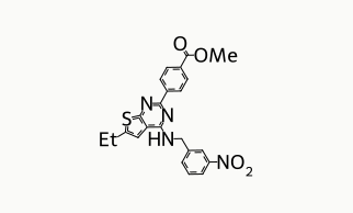 CCc1cc2c(NCc3cccc([N+](=O)[O-])c3)nc(-c3ccc(C(=O)OC)cc3)nc2s1